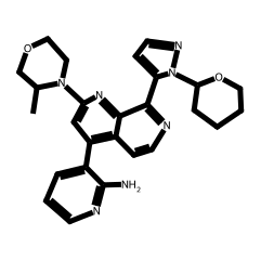 CC1COCCN1c1cc(-c2cccnc2N)c2ccnc(-c3ccnn3C3CCCCO3)c2n1